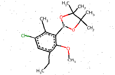 CCc1cc(Cl)c(C)c(B2OC(C)(C)C(C)(C)O2)c1OC